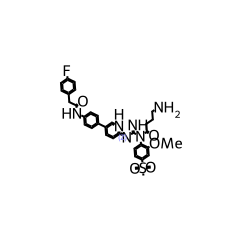 COc1cc(S(C)(=O)=O)ccc1N(C(=N)/N=c1/ccc(-c2ccc(NC(=O)Cc3ccc(F)cc3)cc2)c[nH]1)C(=O)CCCN